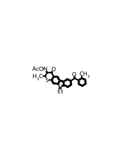 CCn1c2ccc(C(=O)c3ccccc3C)cc2c2cc3c(cc21)SC(C)/C(=N\OC(C)=O)C3=O